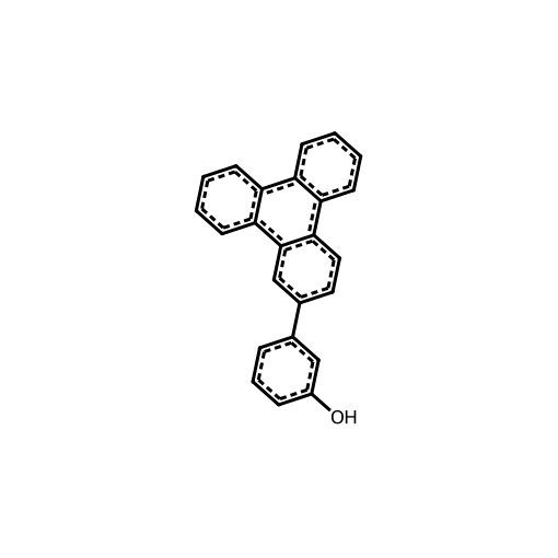 Oc1cccc(-c2ccc3c4ccccc4c4ccccc4c3c2)c1